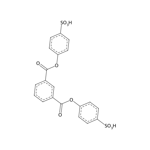 O=C(Oc1ccc(S(=O)(=O)O)cc1)c1cccc(C(=O)Oc2ccc(S(=O)(=O)O)cc2)c1